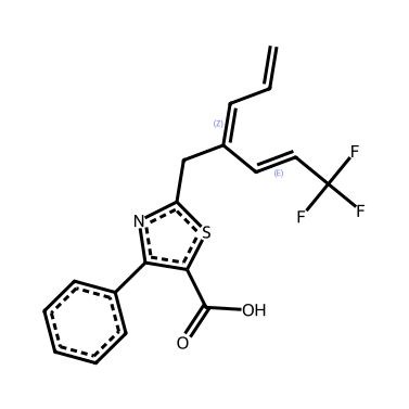 C=C/C=C(\C=C\C(F)(F)F)Cc1nc(-c2ccccc2)c(C(=O)O)s1